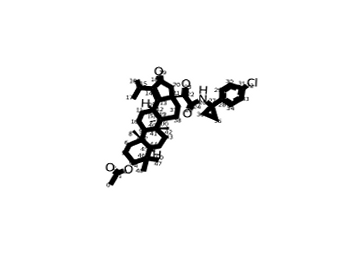 CC(=O)O[C@H]1CC[C@]2(C)C3CC[C@@H]4C5=C(C(C)C)C(=O)C[C@]5(C(=O)C(=O)NC5(c6ccc(Cl)cc6)CC5)CC[C@@]4(C)[C@]3(C)CC[C@H]2C1(C)C